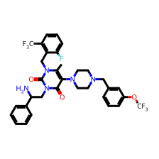 Cc1c(N2CCN(Cc3cccc(OC(F)(F)F)c3)CC2)c(=O)n(CC(N)c2ccccc2)c(=O)n1Cc1c(F)cccc1C(F)(F)F